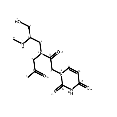 CN[C@@H](CO)CN(CC(C)=O)C(=O)Cn1ccc(=O)[nH]c1=S